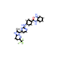 Cc1nc2ccc(C(F)(F)F)nn2c1-c1ccnc(Nc2ccc(C(=O)Nc3ccccc3N)cc2)n1